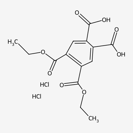 CCOC(=O)c1cc(C(=O)O)c(C(=O)O)cc1C(=O)OCC.Cl.Cl